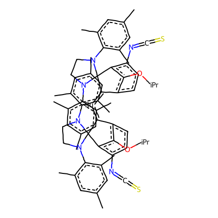 Cc1cc(C)c(N2CCN(c3c(C)cc(C)cc3C)C23[C](=[Ru]=[C]2c4ccc(N=C=S)c(c4OC(C)C)C24N(c2c(C)cc(C)cc2C)CCN4c2c(C)cc(C)cc2C)c2ccc(N=C=S)c3c2OC(C)C)c(C)c1